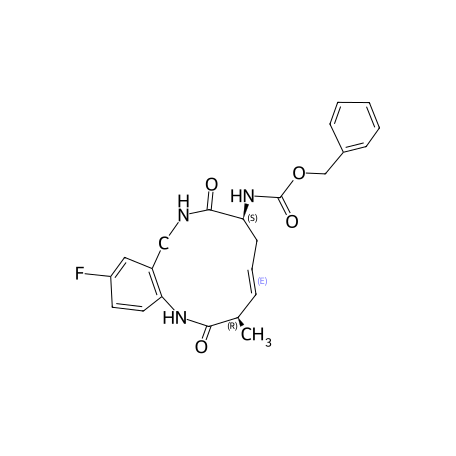 C[C@@H]1/C=C/C[C@H](NC(=O)OCc2ccccc2)C(=O)NCc2cc(F)ccc2NC1=O